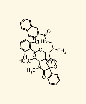 CC(CNC(=O)c1cc2ccccc2cn1)CC1=NOC(C(=O)N(C)[C@@H](CC(=O)O)C(=O)COC(=O)c2c(Cl)cccc2Cl)(c2ccccc2)C1